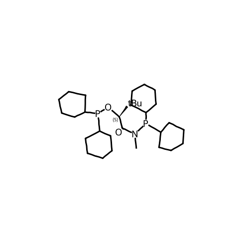 CN(C(=O)[C@@H](OP(C1CCCCC1)C1CCCCC1)C(C)(C)C)P(C1CCCCC1)C1CCCCC1